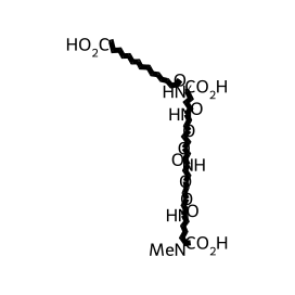 CN[C@@H](CCCCNC(=O)COCCOCCNC(=O)COCCOCCNC(=O)CC[C@H](NC(=O)CCCCCCCCCCCCCCC(=O)O)C(=O)O)C(=O)O